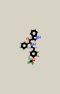 O=C(c1c[nH]c2ccccc12)[C@@H](NCCc1ccc(OC(F)(F)F)cc1)c1ccccc1